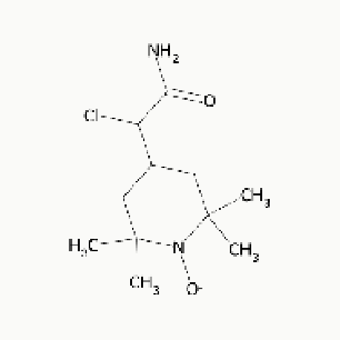 CC1(C)CC(C(Cl)C(N)=O)CC(C)(C)N1[O]